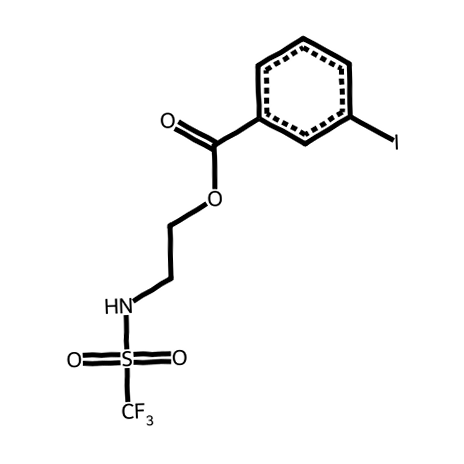 O=C(OCCNS(=O)(=O)C(F)(F)F)c1cccc(I)c1